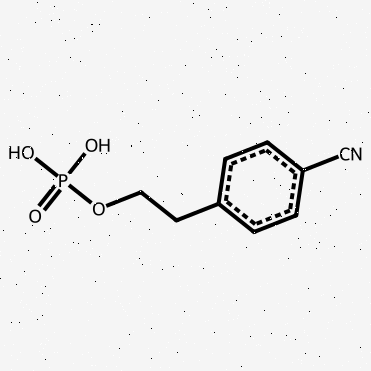 N#Cc1ccc(CCOP(=O)(O)O)cc1